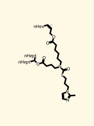 CCCCCC/C=C\COC(=O)CCCCCN(CCCC(=O)OC(CCCCCCC)CCCCCCC)C(=O)SCCCn1ccnc1C